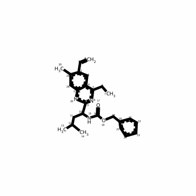 C=Cc1cc2c(CC)nc(C(CC(C)C)NC(=O)OCc3ccccc3)nc2cc1C